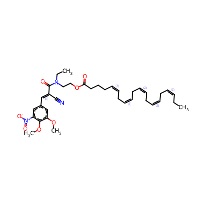 CC/C=C\C/C=C\C/C=C\C/C=C\C/C=C\CCCC(=O)OCCN(CC)C(=O)/C(C#N)=C/c1cc(OC)c(OC)c([N+](=O)[O-])c1